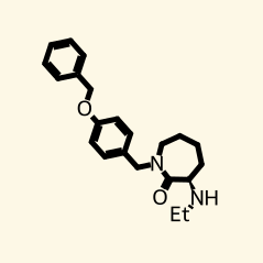 CCN[C@@H]1CCCCN(Cc2ccc(OCc3ccccc3)cc2)C1=O